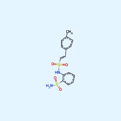 Cc1ccc(C=CS(=O)(=O)Nc2ccccc2S(N)(=O)=O)cc1